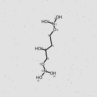 OC(CCON(O)O)CON(O)O